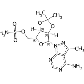 Cc1nn([C@@H]2O[C@H](COS(N)(=O)=O)[C@H]3OC(C)(C)O[C@H]32)c2ncnc(N)c12